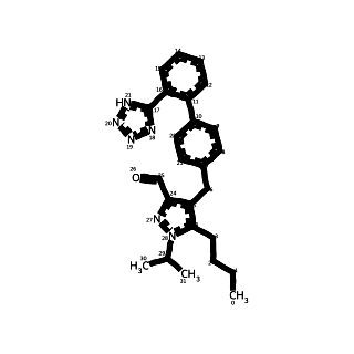 CCCCc1c(Cc2ccc(-c3ccccc3-c3nnn[nH]3)cc2)c(C=O)nn1C(C)C